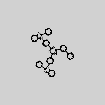 c1ccc(-c2cccc(-c3nc(-c4ccc(-n5c(-c6ccccc6)nc6ccccc65)cc4)nc(-c4ccc(-n5c(-c6ccccc6)nc6ccccc65)cc4)n3)c2)cc1